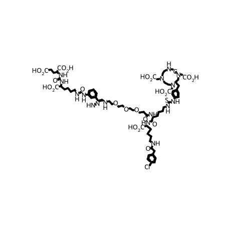 N=N/C(=C\NCCOCCOCCOCCC(=O)NC(CCCCNC(=S)Nc1ccc(CC2CN(CC(=O)O)CCNCCN(CC(=O)O)CCN2CC(=O)O)cc1)C(=O)NC(CCCCNC(=O)Cc1ccc(Cl)cc1)C(=O)O)c1cccc(NC(=O)NCCCCC(NC(=O)NC(CCC(=O)O)C(=O)O)C(=O)O)c1